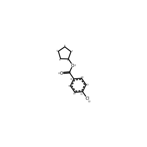 O=C(OC1CCCC1)c1ccc(Cl)cc1